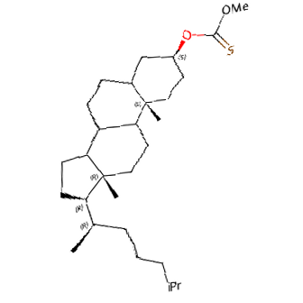 COC(=S)O[C@H]1CC[C@@]2(C)C(CCC3C2CC[C@@]2(C)C3CC[C@@H]2[C@H](C)CCCC(C)C)C1